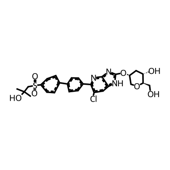 CC(C)(O)CS(=O)(=O)c1ccc(-c2ccc(-c3nc4nc(O[C@H]5CO[C@H](CO)[C@@H](O)C5)[nH]c4cc3Cl)cc2)cc1